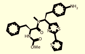 COC(=O)N[C@@H](Cc1ccccc1)C(=O)N(C)[C@@H](Cc1ccc(N)cc1)c1csc(-c2cccs2)n1